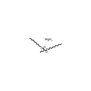 CCCCCCCCCCOC(=O)C(CCC)C(=O)OCCCCCCCCCC.[MgH2]